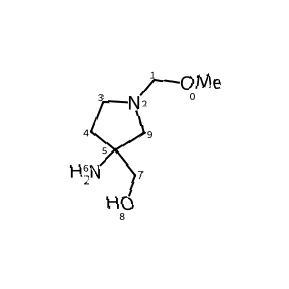 COCN1CCC(N)(CO)C1